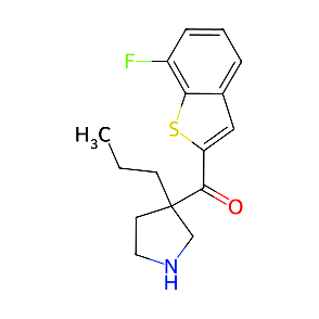 CCCC1(C(=O)c2cc3cccc(F)c3s2)CCNC1